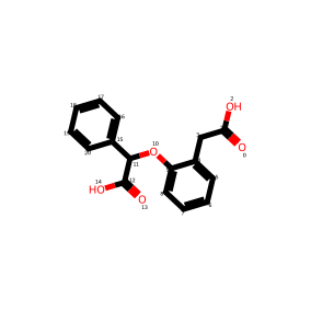 O=C(O)Cc1ccccc1OC(C(=O)O)c1ccccc1